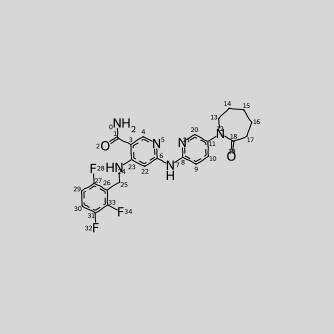 NC(=O)c1cnc(Nc2ccc(N3CCCCCC3=O)cn2)cc1NCc1c(F)ccc(F)c1F